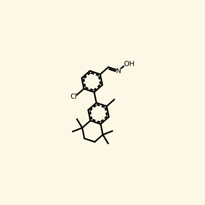 Cc1cc2c(cc1-c1cc(C=NO)ccc1Cl)C(C)(C)CCC2(C)C